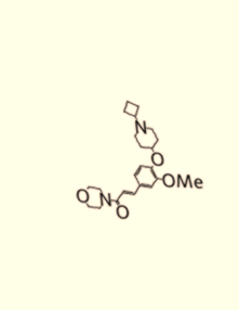 COc1cc(C=CC(=O)N2CCOCC2)ccc1OC1CCN(C2CCC2)CC1